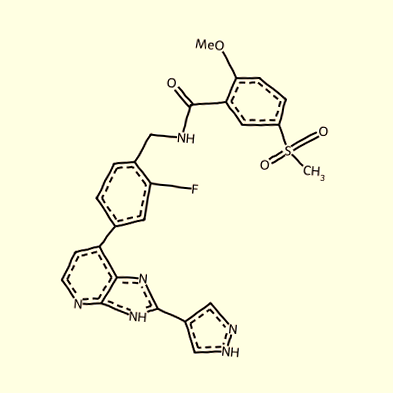 COc1ccc(S(C)(=O)=O)cc1C(=O)NCc1ccc(-c2ccnc3[nH]c(-c4cn[nH]c4)nc23)cc1F